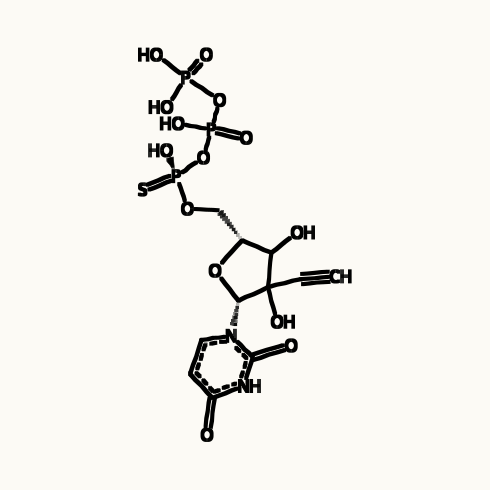 C#CC1(O)C(O)[C@@H](CO[P@](O)(=S)OP(=O)(O)OP(=O)(O)O)O[C@H]1n1ccc(=O)[nH]c1=O